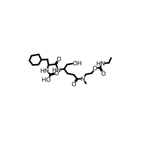 CCNC(=O)OCCN(C)C(=O)CCC(CO)NC(=O)C(CC1CCCCC1)NC(=O)O